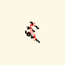 C=C(C)C(=O)OCC(C)O.C=C(C)C(=O)OCCCC.C=CC(=O)OCCCC.C=Cc1ccccc1